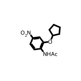 CC(=O)Nc1ccc([N+](=O)[O-])cc1OC1CCCC1